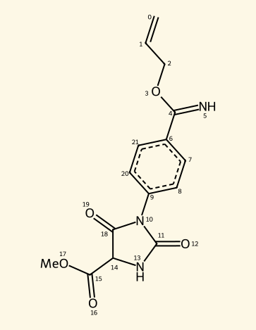 C=CCOC(=N)c1ccc(N2C(=O)NC(C(=O)OC)C2=O)cc1